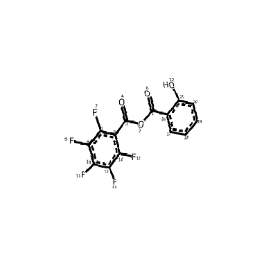 O=C(OC(=O)c1c(F)c(F)c(F)c(F)c1F)c1ccccc1O